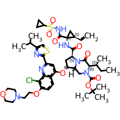 C=C[C@@H]1C[C@]1(NC(=O)[C@@H]1C[C@@H](Oc2cc(-c3nc(C(C)C)cs3)nc3c(Cl)c(OCCN4CCOCC4)ccc23)[C@H]2CN(C(=O)OC(C)(C)C)[C@H]([C@@H](C)CC)C(=O)N21)C(=O)NS(=O)(=O)C1CC1